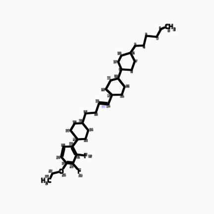 CCCCCCC1CCC(C2CCC(/C=C/CCC3CCC(c4ccc(OCC)c(F)c4F)CC3)CC2)CC1